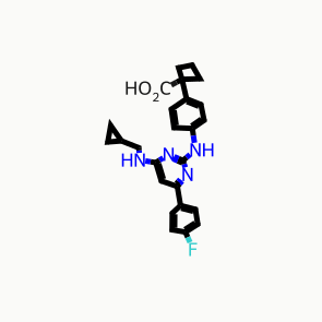 O=C(O)C1(c2ccc(Nc3nc(NCC4CC4)cc(-c4ccc(F)cc4)n3)cc2)CCC1